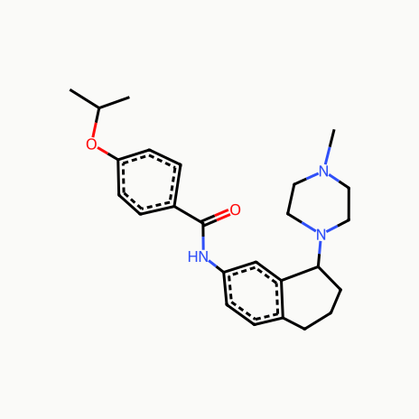 CC(C)Oc1ccc(C(=O)Nc2ccc3c(c2)C(N2CCN(C)CC2)CCC3)cc1